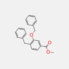 COC(=O)c1ccc(Cc2ccccc2)c(OCc2ccccc2)c1